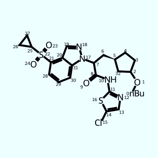 CCCCOC1CC[C@H](CC(C(=O)Nc2ncc(Cl)s2)n2ncc3c(S(=O)(=O)C4CC4)cccc32)C1